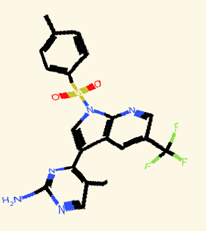 Cc1ccc(S(=O)(=O)n2cc(-c3nc(N)ncc3C)c3cc(C(F)(F)F)cnc32)cc1